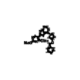 COc1ncc(-c2cc3c(N4CCC(OCc5ccccn5)C4)ncnc3s2)c(OC)n1